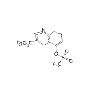 CCOC(=O)c1cnc2c(c1)C(OS(=O)(=O)C(F)(F)F)=CCC2